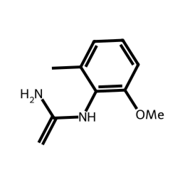 C=C(N)Nc1c(C)cccc1OC